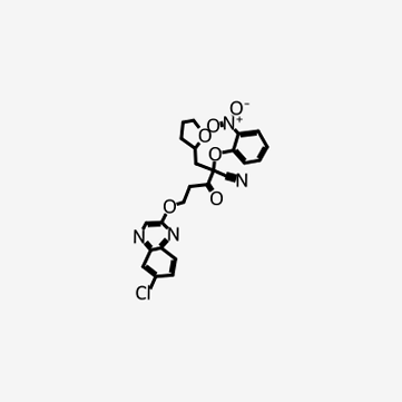 N#CC(CC1CCCO1)(Oc1ccccc1[N+](=O)[O-])C(=O)CCOc1cnc2cc(Cl)ccc2n1